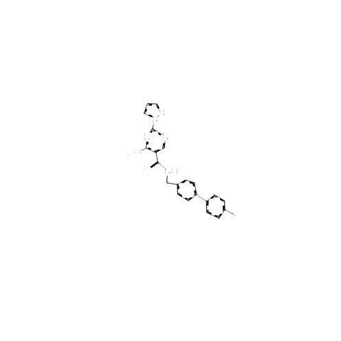 O=C(NCc1ccc(-c2ccc(F)cc2)cc1)c1cnc(-n2cccn2)nc1O